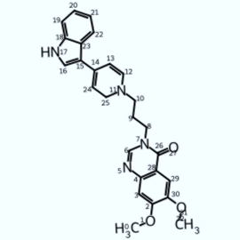 COc1cc2ncn(CCCN3C=CC(c4c[nH]c5ccccc45)=CC3)c(=O)c2cc1OC